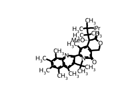 CO[C@]1(C(C)(C)C(C)(C)C(C)C)C(=O)OCc2c1c(C)c1n(c2=O)C(C)(C)c2c-1nc1c(C)c(C)c(C)c(C)c1c2C